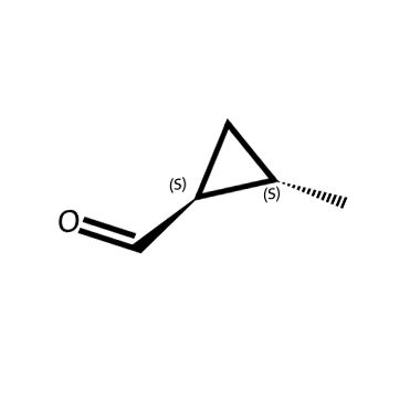 C[C@H]1C[C@@H]1C=O